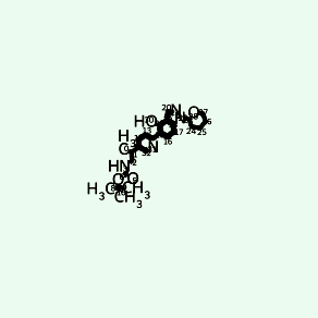 CC(CNC(=O)OC(C)(C)C)c1ccc(-c2ccc3c(cnn3C3CCCCO3)c2O)nc1